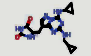 O=C1NC(=O)/C(=C\c2cnn3c(NC4CC4)nc(NCC4CC4)nc23)N1